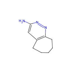 Nc1cc2c(nn1)CCCCC2